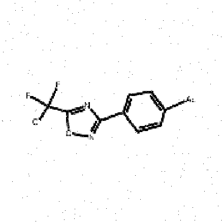 CC(=O)c1ccc(-c2noc(C(F)(F)Cl)n2)cc1